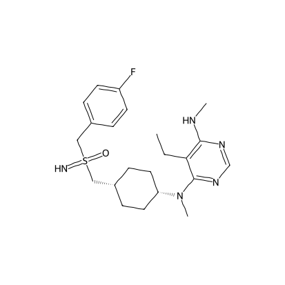 CCc1c(NC)ncnc1N(C)[C@H]1CC[C@@H](CS(=N)(=O)Cc2ccc(F)cc2)CC1